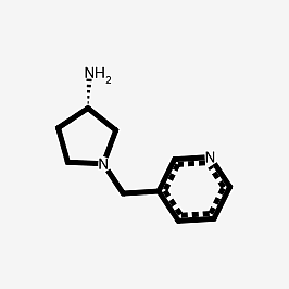 N[C@H]1CCN(Cc2cccnc2)C1